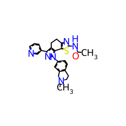 CC(=O)Nc1nc2c(s1)-c1c(c(-c3cccnc3)nn1-c1ccc3c(c1)CN(C)CC3)CC2